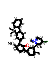 Cc1ccc2c(oc3c(-c4ccc5c(c4)[Si](C)(C)c4ccccc4-5)c(C#N)ccc32)c1-c1cc(F)cc[n+]1C